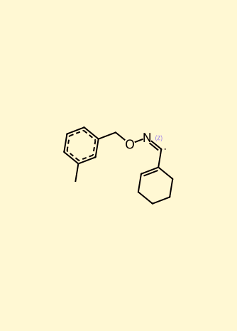 Cc1cccc(CO/N=[C]\C2=CCCCC2)c1